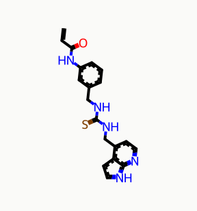 C=CC(=O)Nc1cccc(CNC(=S)NCc2ccnc3[nH]ccc23)c1